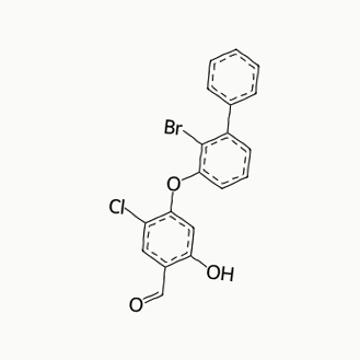 O=Cc1cc(Cl)c(Oc2cccc(-c3ccccc3)c2Br)cc1O